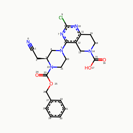 N#CC[C@H]1CN(c2nc(Cl)nc3c2CN(C(=O)O)CC3)CCN1C(=O)OCc1ccccc1